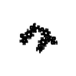 Cc1oc(-c2ccc(-c3ccc[s+]3[O-])cc2)nc1CCOc1ccc(CC(C)(Oc2ccc(OC(F)(F)F)cc2)C(=O)O)cc1